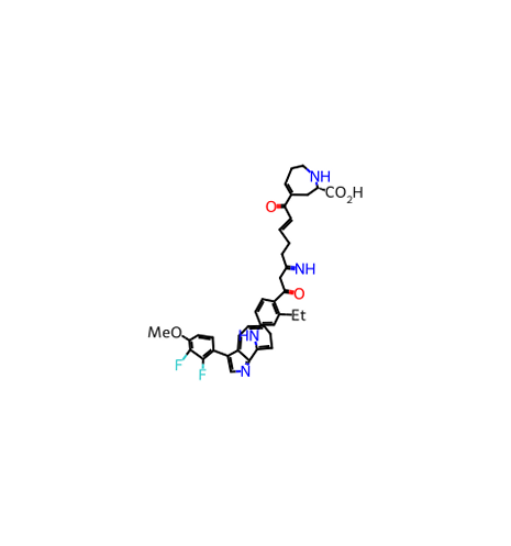 CCc1cc(N/C2=C\C/C=C\C=C3\C(c4ccc(OC)c(F)c4F)=CN=C23)ccc1C(=O)CC(=N)CC/C=C/C(=O)C1=CCCN[C@@H](C(=O)O)C1